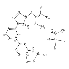 NCC(Cn1ncn(-c2cccc(-c3ccc4c(c3)NC(=O)OC4)n2)c1=O)=C(F)F.O=C(O)C(F)(F)F